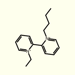 CCCC[n+]1ccccc1-c1cccc[n+]1CC